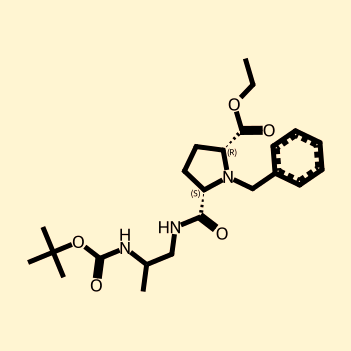 CCOC(=O)[C@H]1CC[C@@H](C(=O)NCC(C)NC(=O)OC(C)(C)C)N1Cc1ccccc1